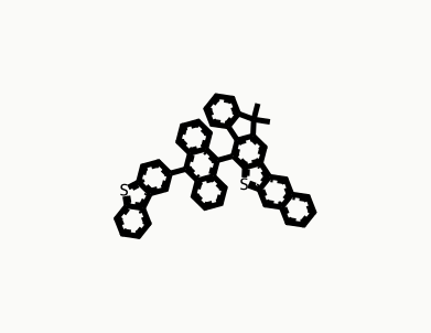 CC1(C)c2ccccc2-c2c1cc1c(sc3cc4ccccc4cc31)c2-c1c2ccccc2c(-c2ccc3sc4ccccc4c3c2)c2ccccc12